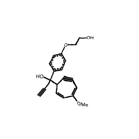 C#CC(O)(c1ccc(OCCO)cc1)C1C#CC=C(OC)C=C1